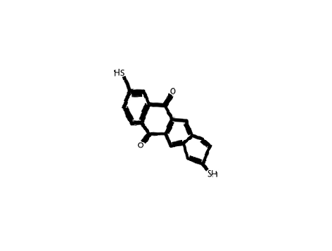 O=C1c2cc(S)ccc2C(=O)c2cc3cc(S)ccc3cc21